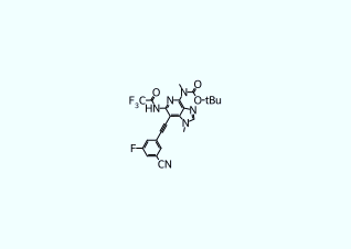 CN(C(=O)OC(C)(C)C)c1nc(NC(=O)C(F)(F)F)c(C#Cc2cc(F)cc(C#N)c2)c2c1ncn2C